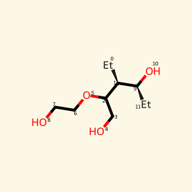 CC[C@H](C(CO)OCCO)[C@@H](O)CC